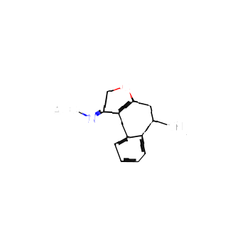 CC(=O)O/N=C1\COC2=C1c1ccccc1C(C)C2